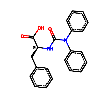 O=C(O)[C@H](Cc1ccccc1)NC(=O)N(c1ccccc1)c1ccccc1